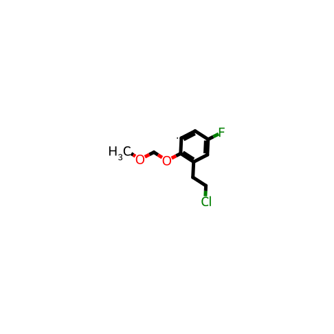 COCOc1[c]cc(F)cc1CCCl